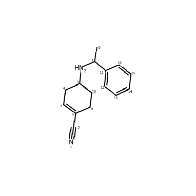 CC(NC1CC=C(C#N)CC1)c1ccccc1